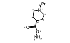 CC(C)N1CCC(C(=O)ON)CC1